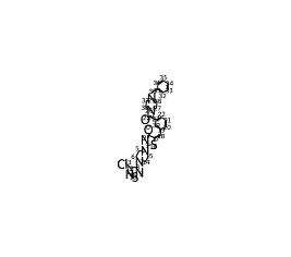 O=C1N=C(N2CCN(c3nsnc3Cl)CC2)S/C1=C/c1cccc(C(=O)N2CCN(Cc3ccccc3)CC2)c1